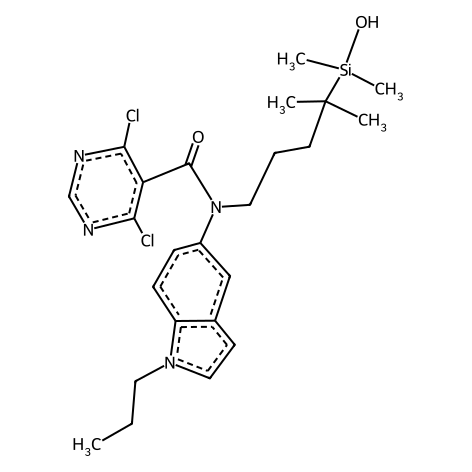 CCCn1ccc2cc(N(CCCC(C)(C)[Si](C)(C)O)C(=O)c3c(Cl)ncnc3Cl)ccc21